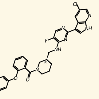 O=C(c1ccccc1Oc1ccccc1)N1CCC[C@H](CNc2nc(-c3c[nH]c4ncc(Cl)cc34)ncc2F)C1